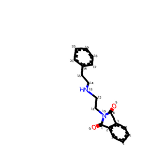 O=C1c2ccccc2C(=O)N1CCNCCc1ccccc1